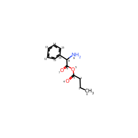 CCCC(=O)OC(=O)C(N)c1ccccc1